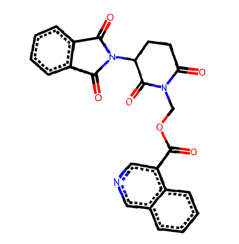 O=C(OCN1C(=O)CCC(N2C(=O)c3ccccc3C2=O)C1=O)c1cncc2ccccc12